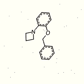 c1ccc(COc2ccccc2N2CCC2)cc1